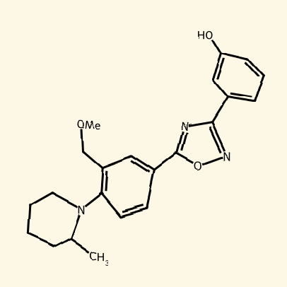 COCc1cc(-c2nc(-c3cccc(O)c3)no2)ccc1N1CCCCC1C